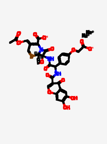 CO[C@@]1(NC(=O)C(NC(=O)c2coc3cc(O)c(O)cc3c2=O)c2ccc(OCC(=O)[O-])cc2)C(=O)N2C(C(=O)[O-])=C(COC(C)=O)CS[C@H]21.[Na+].[Na+]